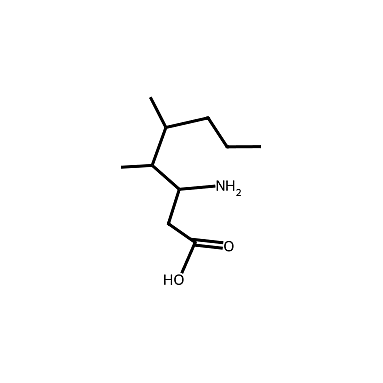 CCCC(C)C(C)C(N)CC(=O)O